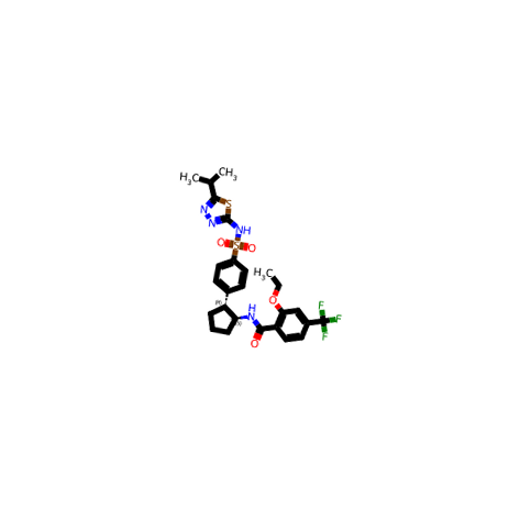 CCOc1cc(C(F)(F)F)ccc1C(=O)N[C@H]1CCC[C@@H]1c1ccc(S(=O)(=O)Nc2nnc(C(C)C)s2)cc1